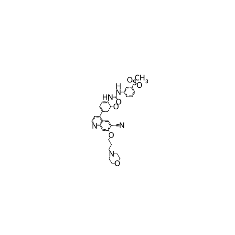 CS(=O)(=O)c1cccc(NC(=O)NC2=CC=C(c3ccnc4cc(OCCCN5CCOCC5)c(C#N)cc34)CC2=O)c1